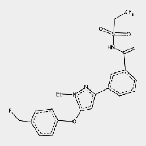 C=C(NS(=O)(=O)CC(F)(F)F)c1cccc(-c2cc(Oc3ccc(CF)cc3)n(CC)n2)c1